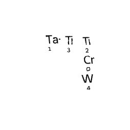 [Cr].[Ta].[Ti].[Ti].[W]